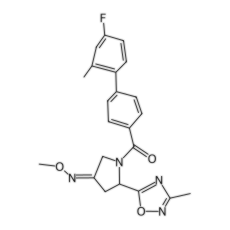 CON=C1CC(c2nc(C)no2)N(C(=O)c2ccc(-c3ccc(F)cc3C)cc2)C1